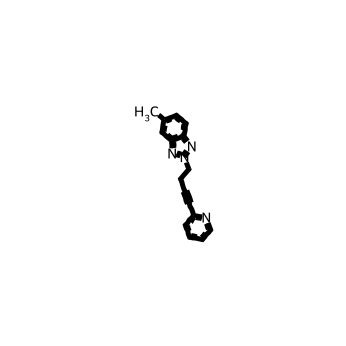 Cc1ccc2nn(CCC#Cc3ccccn3)nc2c1